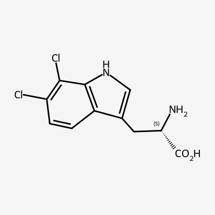 N[C@@H](Cc1c[nH]c2c(Cl)c(Cl)ccc12)C(=O)O